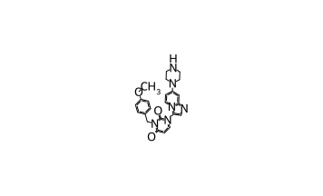 COc1ccc(Cn2c(=O)ccn(-c3cnc4cc(N5CCNCC5)ccn34)c2=O)cc1